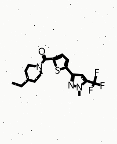 CCC1CCN(C(=O)c2ccc(-c3cc(C(F)(F)F)n(C)n3)s2)CC1